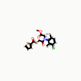 COC(=O)[C@H](C)N(C(=O)CSC(=O)c1cccs1)c1c(C)ccc(Br)c1C